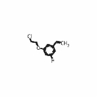 C=Cc1cc(F)cc(OCCCl)c1